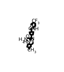 Cc1ccc2c(c1)CCn1nc(-c3ccc(C(=O)Nc4ccc(C(F)(F)F)cn4)cc3)c(C(N)=O)c1N2